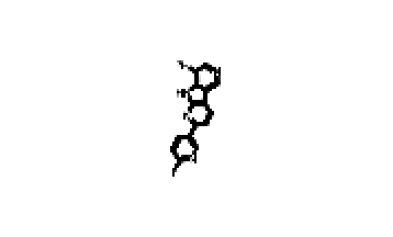 [2H]c1cncc2c1[nH]c1nc(-c3ccc(F)nc3)ccc12